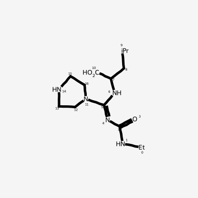 CCNC(=O)/N=C(\NC(CC(C)C)C(=O)O)N1CCNCC1